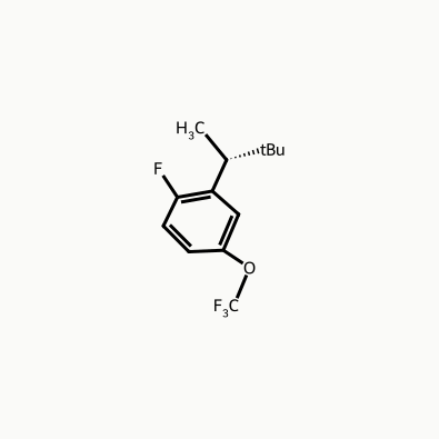 C[C@@H](c1cc(OC(F)(F)F)ccc1F)C(C)(C)C